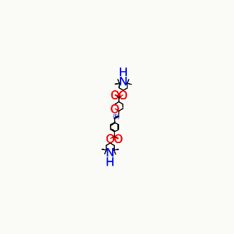 CC1(C)CC(OC(=O)c2ccc(/C=C/C3CCC(C(=O)OC4CC(C)(C)NC(C)(C)C4)CO3)cc2)CC(C)(C)N1